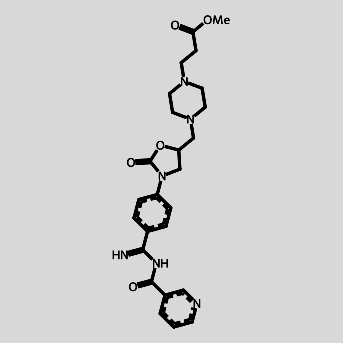 COC(=O)CCN1CCN(CC2CN(c3ccc(C(=N)NC(=O)c4cccnc4)cc3)C(=O)O2)CC1